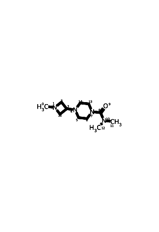 CN1CC(N2CCN(C(=O)N(C)C)CC2)C1